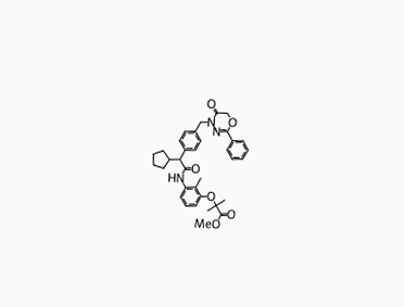 COC(=O)C(C)(C)Oc1cccc(NC(=O)C(c2ccc(CN3N=C(c4ccccc4)OCC3=O)cc2)C2CCCC2)c1C